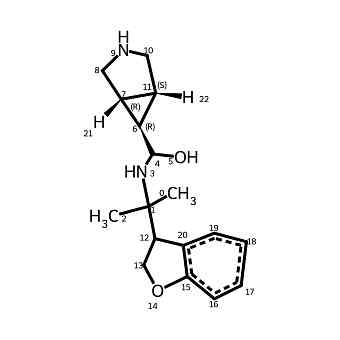 CC(C)(NC(O)[C@H]1[C@@H]2CNC[C@@H]21)C1COc2ccccc21